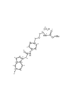 CC(C)(C)OC(=O)N[C@H](CSCc1ccc(NC(=O)Cn2ccc3cc(F)ccc32)cc1)C(=O)O